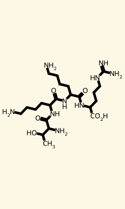 CC(O)C(N)C(=O)NC(CCCCN)C(=O)NC(CCCCN)C(=O)NC(CCCNC(=N)N)C(=O)O